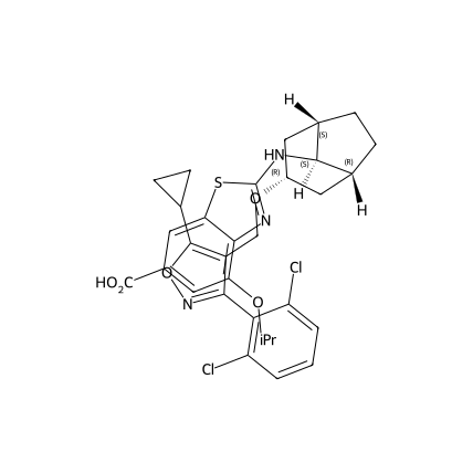 CC(C)Oc1cc(C(=O)O)cc2sc(N[C@@H]3[C@@H]4CC[C@H]3C[C@@H](OCc3c(-c5c(Cl)cccc5Cl)noc3C3CC3)C4)nc12